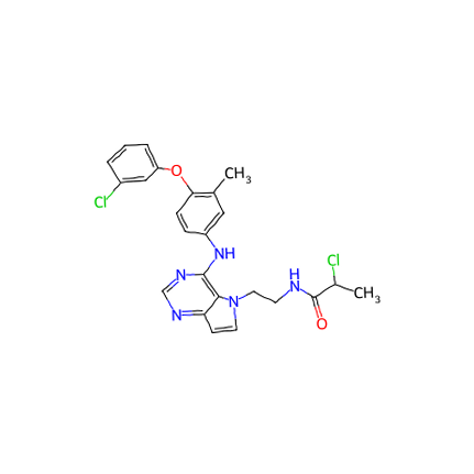 Cc1cc(Nc2ncnc3ccn(CCNC(=O)C(C)Cl)c23)ccc1Oc1cccc(Cl)c1